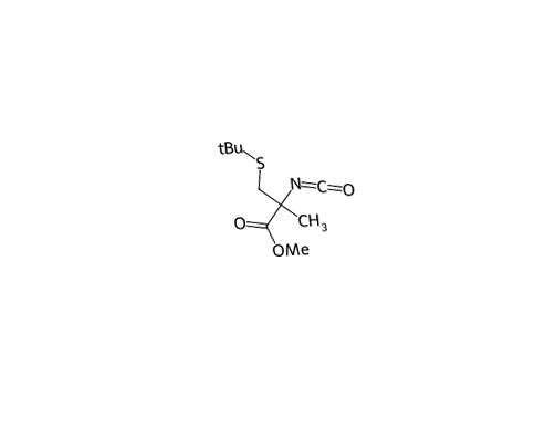 COC(=O)C(C)(CSC(C)(C)C)N=C=O